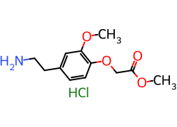 COC(=O)COc1ccc(CCN)cc1OC.Cl